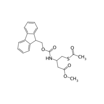 COC(=O)CC(CSC(C)=O)NC(=O)OCC1c2ccccc2-c2ccccc21